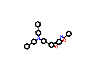 c1ccc(-c2ccc(N(c3ccc(-c4ccccc4)cc3)c3ccc(-c4ccc5oc6cc7oc(-c8ccccc8)nc7cc6c5c4)cc3)cc2)cc1